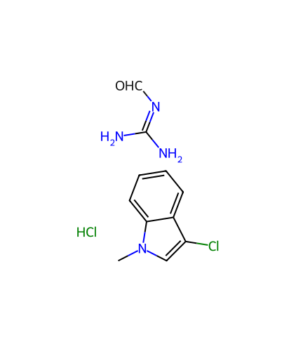 Cl.Cn1cc(Cl)c2ccccc21.NC(N)=NC=O